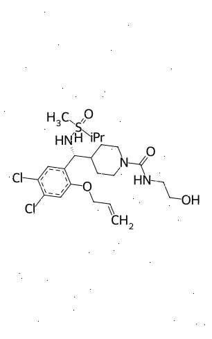 C=CCOc1cc(Cl)c(Cl)cc1[C@H](N[SH](C)(=O)C(C)C)C1CCN(C(=O)NCCO)CC1